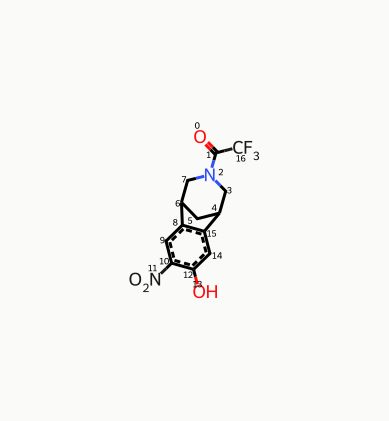 O=C(N1CC2CC(C1)c1cc([N+](=O)[O-])c(O)cc12)C(F)(F)F